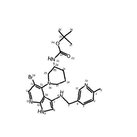 Cc1ccc(CNc2c[nH]c3ncc(Br)c(N4CCC[C@@H](NC(=O)OC(C)(C)C)C4)c23)cn1